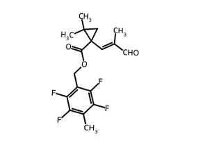 C/C(C=O)=C\C1(C(=O)OCc2c(F)c(F)c(C)c(F)c2F)CC1(C)C